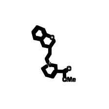 COC(=O)C1=CCCN(CCC2COc3ccccc3C2)C1